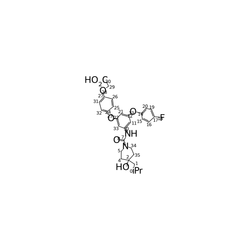 CC(C)CC1(O)CCN(C(=O)Nc2cc(Oc3ccc(F)cc3)cc(Oc3ccc(OCC(=O)O)cc3)c2)CC1